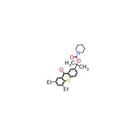 CCc1cc(CC)c2sc3ccc(C(C)(C)OC(=O)N4CCCCC4)cc3c(=O)c2c1